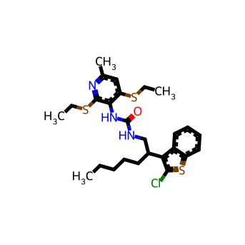 CCCCCC(CNC(=O)Nc1c(SCC)cc(C)nc1SCC)c1c(Cl)sc2ccccc12